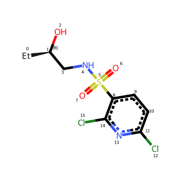 CC[C@@H](O)CNS(=O)(=O)c1ccc(Cl)nc1Cl